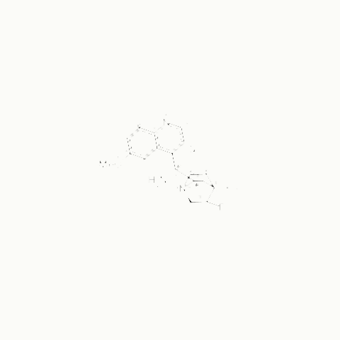 CC[C@H]1C[N@@]2CC[C@@H]1C[C@@H]2[C@H](N)c1ccnc2ccc(OC)cc12